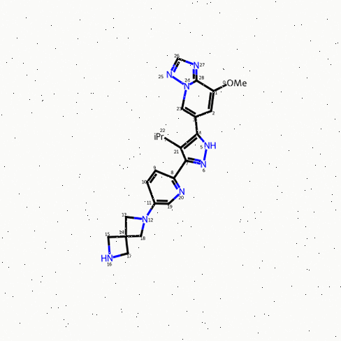 COc1cc(-c2[nH]nc(-c3ccc(N4CC5(CNC5)C4)cn3)c2C(C)C)cn2ncnc12